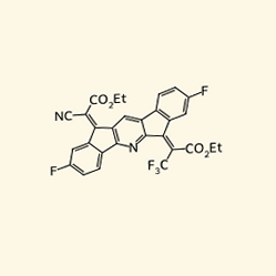 CCOC(=O)/C(C#N)=C1/c2cc(F)ccc2-c2nc3c(cc21)-c1ccc(F)cc1/C3=C(\C(=O)OCC)C(F)(F)F